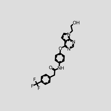 O=C(Cc1ccc(C(F)(F)F)cc1)Nc1ccc(Oc2ncnc3c2ccn3CCO)cc1